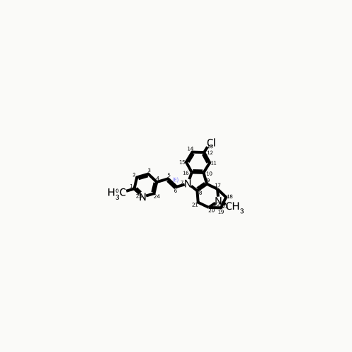 Cc1ccc(/C=C/n2c3c(c4cc(Cl)ccc42)C2CCC(C3)N2C)cn1